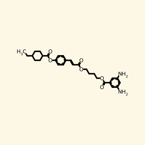 CCC1CCC(C(=O)Oc2ccc(C=CC(=O)OCCCCOC(=O)c3cc(N)cc(N)c3)cc2)CC1